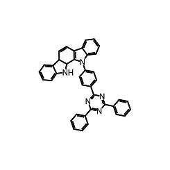 C1=CC2c3ccccc3NC2c2c1c1ccccc1n2-c1ccc(-c2nc(-c3ccccc3)nc(-c3ccccc3)n2)cc1